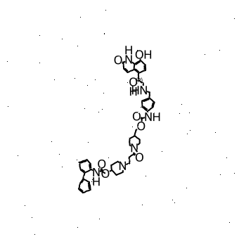 O=C(Nc1ccc(CNC[C@H](O)c2ccc(O)c3[nH]c(=O)ccc23)cc1)OCC1CCN(C(=O)CCN2CCC(OC(=O)Nc3ccccc3-c3ccccc3)CC2)CC1